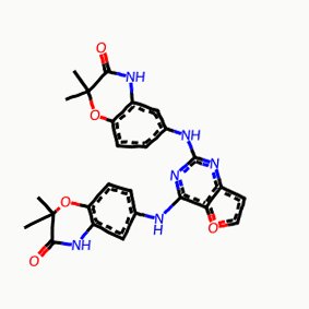 CC1(C)Oc2ccc(Nc3nc(Nc4ccc5c(c4)NC(=O)C(C)(C)O5)c4occc4n3)cc2NC1=O